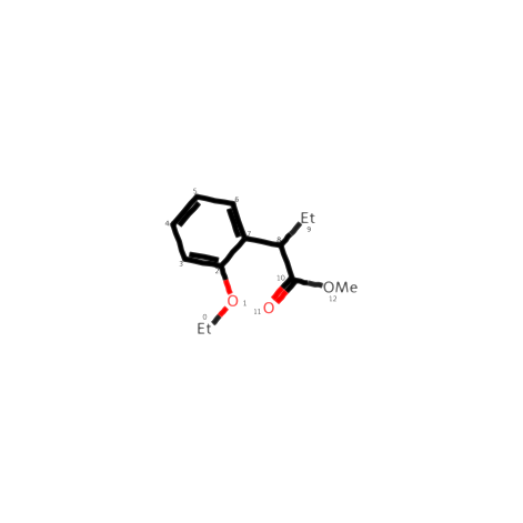 CCOc1ccccc1C(CC)C(=O)OC